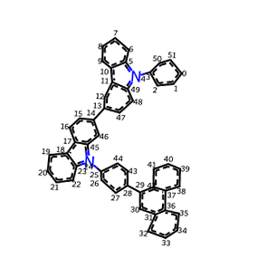 c1ccc(-n2c3ccccc3c3cc(-c4ccc5c6ccccc6n(-c6ccc(-c7cc8ccccc8c8ccccc78)cc6)c5c4)ccc32)cc1